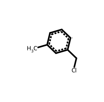 Cc1cc[c]c(CCl)c1